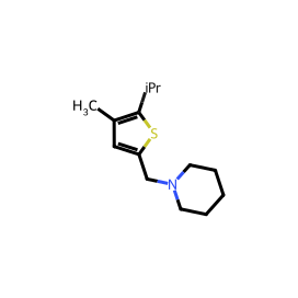 Cc1cc(CN2CCCCC2)sc1C(C)C